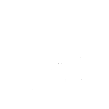 CC(C)(OC(C)(C)C1CC2C=CC1C2)C1CC2C=CC1C2.O=C(O)CO